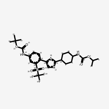 CC(C)OC(=O)NC1CCC(c2ncc(-c3ccc(NC(=O)OC(C)(C)C)cc3S(=O)(=O)C(F)(F)F)s2)CC1